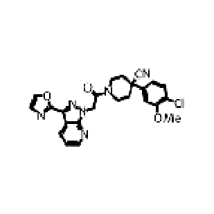 COc1cc(C2(C#N)CCN(C(=O)Cn3nc(-c4ncco4)c4cccnc43)CC2)ccc1Cl